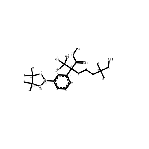 [2H]C([2H])([2H])C(CCCC(C)(C)CO)(C(=O)OC)c1cccc(B2OC(C)(C)C(C)(C)O2)c1